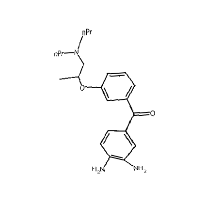 CCCN(CCC)CC(C)Oc1cccc(C(=O)c2ccc(N)c(N)c2)c1